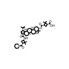 C=C(C)[C@@H]1CC[C@]2(C(=O)N[C@@H]3C[C@H](C(=O)N4CCCCC4)C3(C)C)CC[C@]3(C)[C@H](CC[C@@H]4[C@@]5(C)CC[C@H](OC(=O)[C@@H]6C[C@H](C(=O)O)C6(C)C)C(C)(C)[C@@H]5CC[C@]43C)[C@@H]12